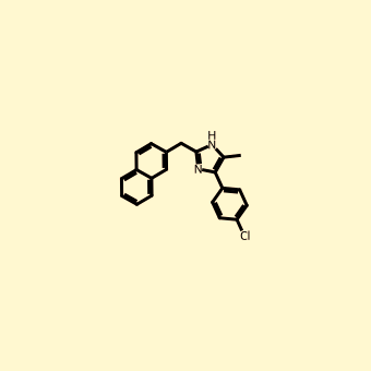 Cc1[nH]c(Cc2ccc3ccccc3c2)nc1-c1ccc(Cl)cc1